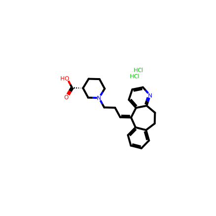 Cl.Cl.O=C(O)[C@@H]1CCCN(CCC=C2c3ccccc3CCc3ncccc32)C1